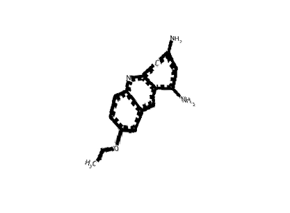 CCOc1ccc2nc3cc(N)cc(N)c3cc2c1